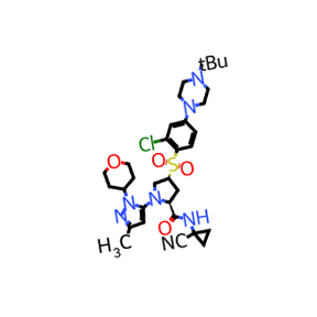 Cc1cc(N2C[C@H](S(=O)(=O)c3ccc(N4CCN(C(C)(C)C)CC4)cc3Cl)C[C@H]2C(=O)NC2(C#N)CC2)n(C2CCOCC2)n1